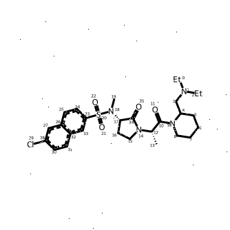 CCN(CC)CC1CCCCN1C(=O)[C@H](C)N1CC[C@H](N(C)S(=O)(=O)c2ccc3cc(Cl)ccc3c2)C1=O